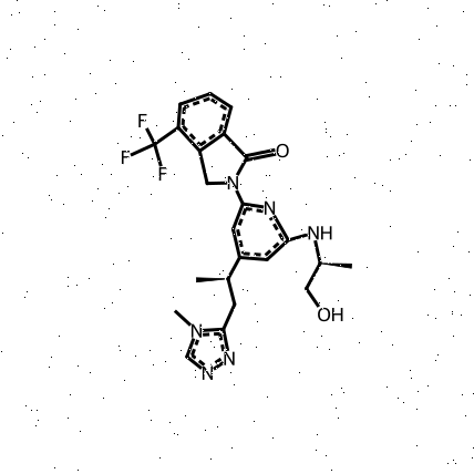 C[C@H](Cc1nncn1C)c1cc(N[C@@H](C)CO)nc(N2Cc3c(cccc3C(F)(F)F)C2=O)c1